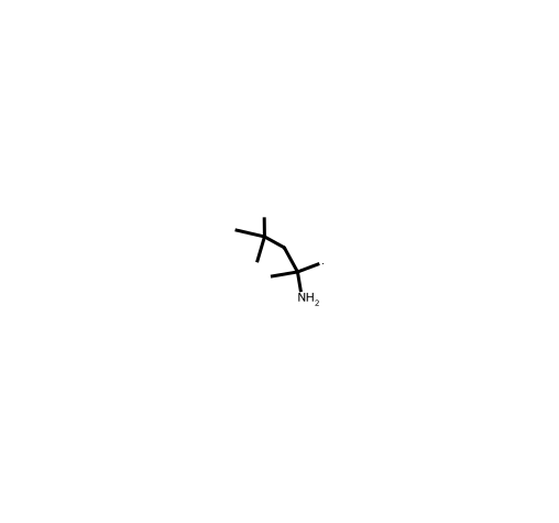 [CH2]C(C)(N)CC(C)(C)C